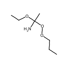 CCCOOC(C)(N)OCC